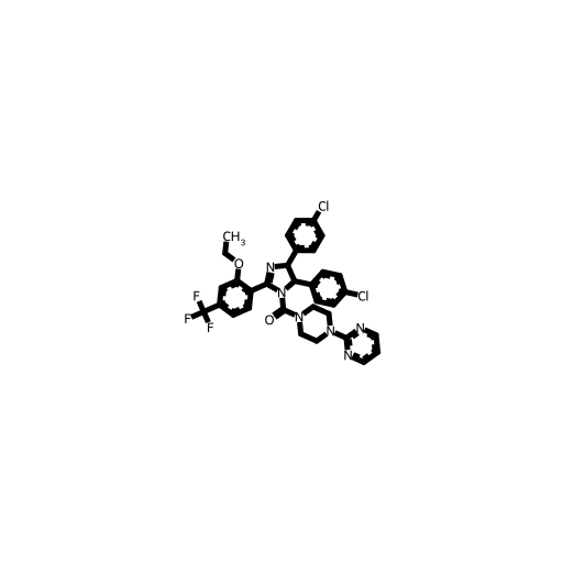 CCOc1cc(C(F)(F)F)ccc1C1=NC(c2ccc(Cl)cc2)C(c2ccc(Cl)cc2)N1C(=O)N1CCN(c2ncccn2)CC1